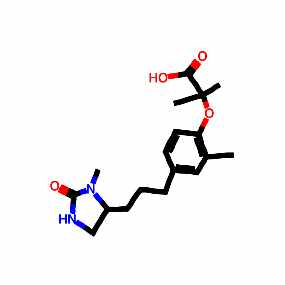 Cc1cc(CCCC2CNC(=O)N2C)ccc1OC(C)(C)C(=O)O